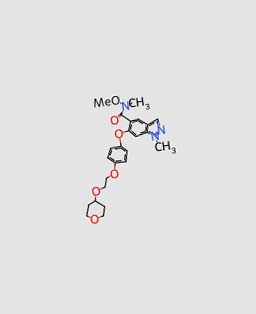 CON(C)C(=O)c1cc2cnn(C)c2cc1Oc1ccc(OCCOC2CCOCC2)cc1